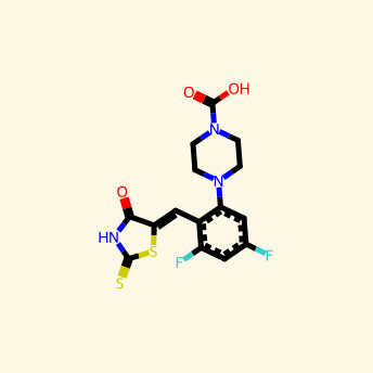 O=C1NC(=S)SC1=Cc1c(F)cc(F)cc1N1CCN(C(=O)O)CC1